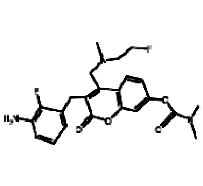 CN(CCF)Cc1c(Cc2cccc(N)c2F)c(=O)oc2cc(OC(=O)N(C)C)ccc12